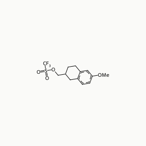 COc1ccc2c(c1)CCC(COS(=O)(=O)C(F)(F)F)C2